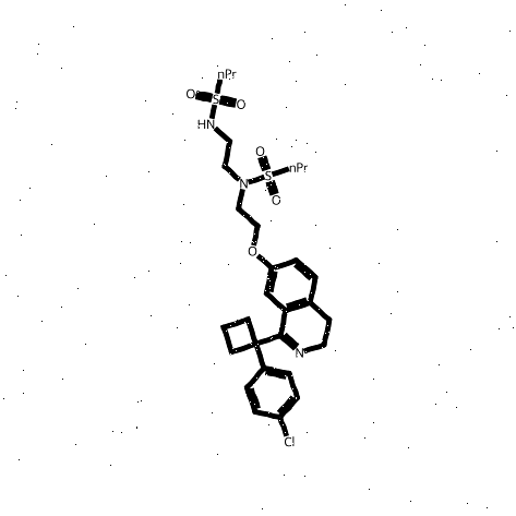 CCCS(=O)(=O)NCCN(CCOc1ccc2c(c1)C(C1(c3ccc(Cl)cc3)CCC1)=NCC2)S(=O)(=O)CCC